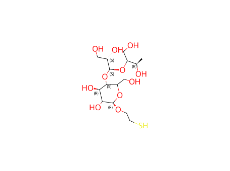 C[C@@H](O)C(CO)O[C@@H](O[C@@H]1C(CO)O[C@@H](OCCS)C(O)[C@H]1O)[C@@H](O)CO